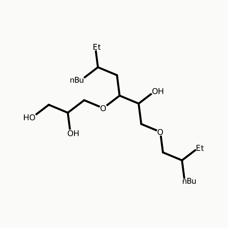 CCCCC(CC)COCC(O)C(CC(CC)CCCC)OCC(O)CO